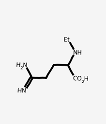 CCNC(CCC(=N)N)C(=O)O